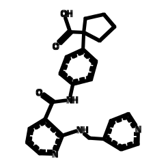 O=C(Nc1ccc(C2(C(=O)O)CCCC2)cc1)c1cccnc1NCc1ccncc1